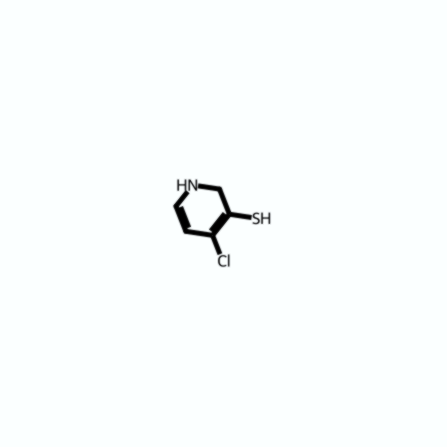 SC1=C(Cl)C=CNC1